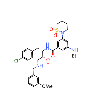 CCNc1cc(C(=O)N[C@@H](Cc2ccc(Cl)cc2)[C@H](O)CNCc2cccc(OC)c2)cc(N2CCCCS2(=O)=O)c1